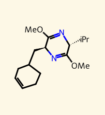 COC1=N[C@H](C(C)C)C(OC)=N[C@H]1CC1CC=CCC1